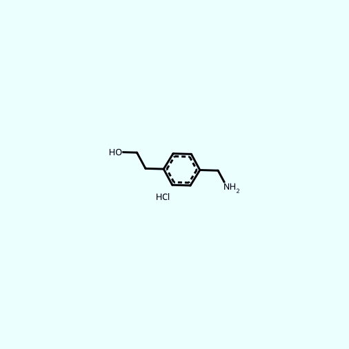 Cl.NCc1ccc(CCO)cc1